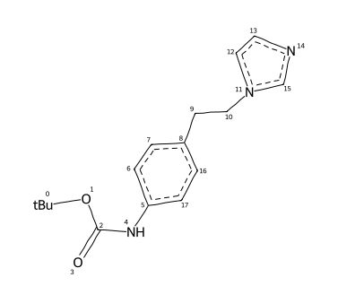 CC(C)(C)OC(=O)Nc1ccc(CCn2ccnc2)cc1